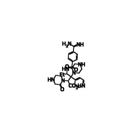 CCC(NC(=O)c1ccc(C(=N)N)cc1)C(c1ccncc1)(C(C(=O)O)N1CCNCC1=O)N1CCNCC1=O